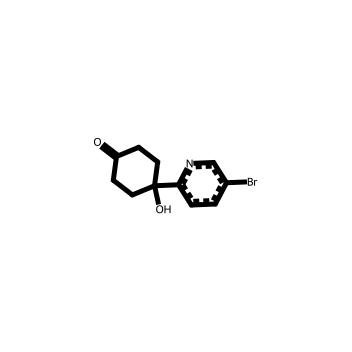 O=C1CCC(O)(c2ccc(Br)cn2)CC1